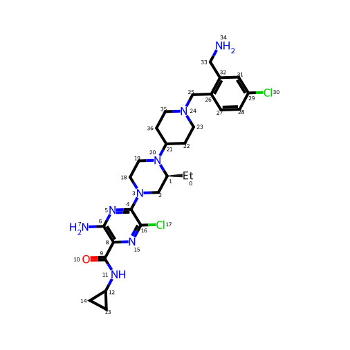 CC[C@H]1CN(c2nc(N)c(C(=O)NC3CC3)nc2Cl)CCN1C1CCN(Cc2ccc(Cl)cc2CN)CC1